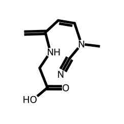 C=C(/C=C\N(C)C#N)NCC(=O)O